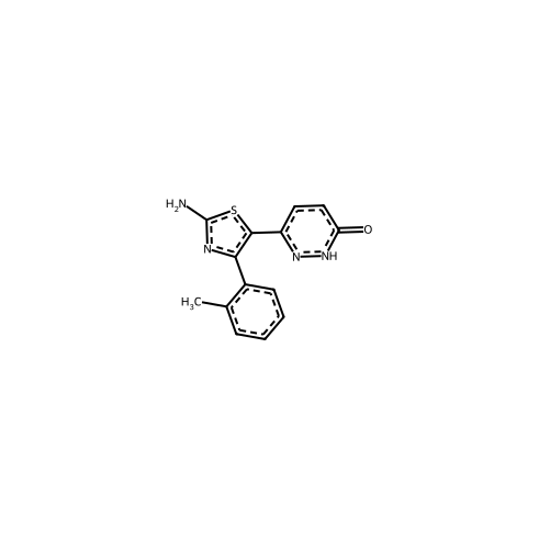 Cc1ccccc1-c1nc(N)sc1-c1ccc(=O)[nH]n1